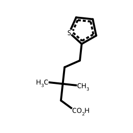 CC(C)(CCc1cccs1)CC(=O)O